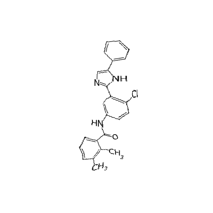 Cc1cccc(C(=O)Nc2ccc(Cl)c(-c3ncc(-c4ccccc4)[nH]3)c2)c1C